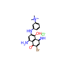 C[N+](C)(C)c1cccc(Nc2cc(N)c3c(c2O)C(=N)C=C(Br)C3=O)c1.[Cl-]